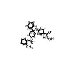 Cc1ccccc1[S+]([O-])N1CCC(Nc2ncc(C(=O)NO)cn2)(c2ccccc2)CC1